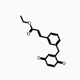 CCOC(=O)C=Cc1cccc(CC2=CC(=O)C=CC2=O)c1